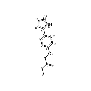 C=C(CC)COc1ccc(-c2ccn[nH]2)nc1